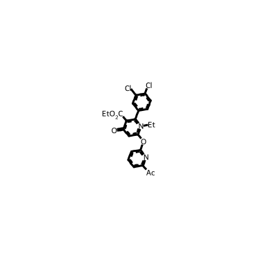 CCOC(=O)c1c(-c2ccc(Cl)c(Cl)c2)n(CC)c(Oc2cccc(C(C)=O)n2)cc1=O